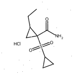 CCC1CC1(C(N)=O)S(=O)(=O)C1CC1.Cl